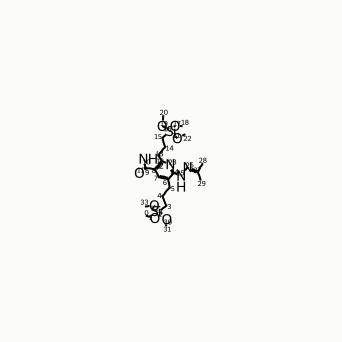 CO[Si](CCCc1cc(C(N)=O)c(CCC[Si](OC)(OC)OC)nc1NN=C(C)C)(OC)OC